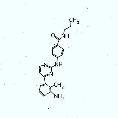 CCCNC(=O)c1ccc(Nc2nccc(-c3cccc(N)c3C)n2)cc1